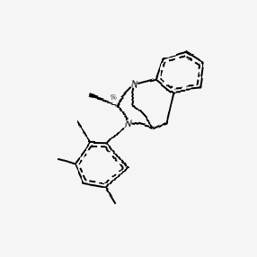 Cc1cc(C)c(C)c(N2C3Cc4ccccc4N(C3)[C@@H]2C)c1